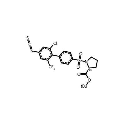 CC(C)(C)OC(=O)[C@@H]1CCCN1S(=O)(=O)c1ccc(-c2c(Cl)cc(N=C=S)cc2C(F)(F)F)cc1